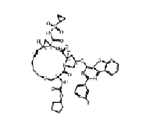 O=C(N[C@H]1COCCC/C=C\[C@@H]2C[C@@]2(C(=O)NS(=O)(=O)C2CC2)NC(=O)[C@@H]2C[C@@H](Oc3nc(-c4cccc(F)c4)nc4c3sc3ncccc34)CN2C1=O)OC1CCCC1